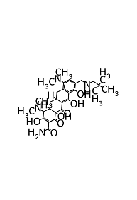 CN(C)c1cc(CNCC(C)(C)C)c(O)c2c1C[C@H]1C[C@H]3[C@H](N(C)C)C(O)=C(C(N)=O)C(=O)[C@@]3(O)C(=O)C1=C2O